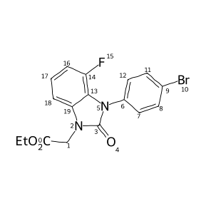 CCOC(=O)Cn1c(=O)n(-c2ccc(Br)cc2)c2c(F)cccc21